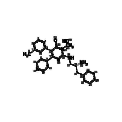 Cc1cccc(-c2c(-c3ccncc3)nc(NC[C@H](N)Cc3ccccc3)n(C)c2=O)c1.Cl